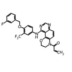 C=CC(=O)N1CCOc2c1ccc1ncnc(Nc3ccc(OCc4cccc(F)c4)c(C(F)(F)F)c3)c21